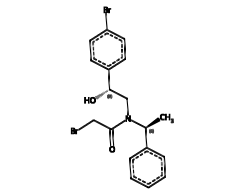 C[C@@H](c1ccccc1)N(C[C@H](O)c1ccc(Br)cc1)C(=O)CBr